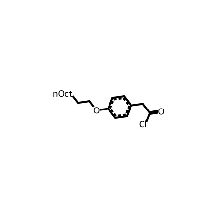 CCCCCCCCCCOc1ccc(CC(=O)Cl)cc1